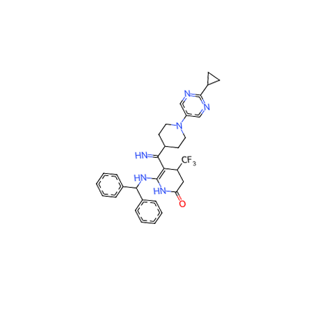 N=C(C1=C(NC(c2ccccc2)c2ccccc2)NC(=O)CC1C(F)(F)F)C1CCN(c2cnc(C3CC3)nc2)CC1